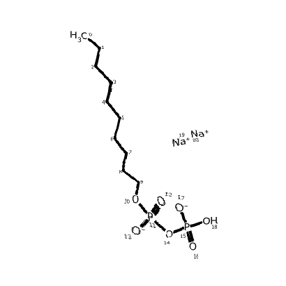 CCCCCCCCCCOP(=O)([O-])OP(=O)([O-])O.[Na+].[Na+]